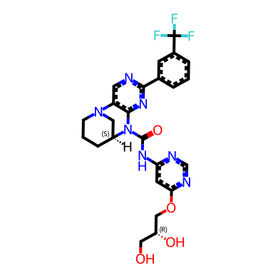 O=C(Nc1cc(OC[C@H](O)CO)ncn1)N1c2nc(-c3cccc(C(F)(F)F)c3)ncc2N2CCC[C@H]1C2